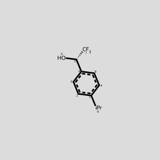 CC(C)c1ccc([C@H](O)C(F)(F)F)cc1